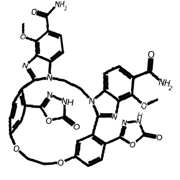 COc1c(C(N)=O)ccc2c1nc1n2CCn2c(nc3c(OC)c(C(N)=O)ccc32)-c2cc(ccc2-c2n[nH]c(=O)o2)OCCOc2ccc-1c(-c1n[nH]c(=O)o1)c2